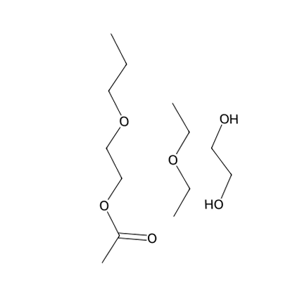 CCCOCCOC(C)=O.CCOCC.OCCO